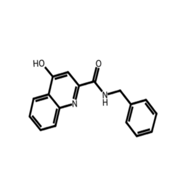 O=C(NCc1ccccc1)c1cc(O)c2ccccc2n1